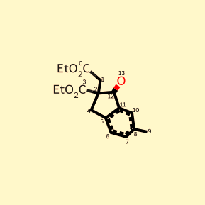 CCOC(=O)CC1(C(=O)OCC)Cc2ccc(C)cc2C1=O